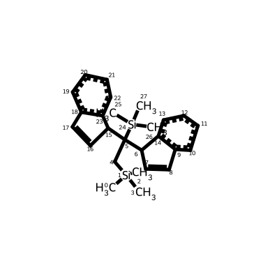 C[Si](C)(C)CC(C1C=Cc2ccccc21)(C1C=Cc2ccccc21)[Si](C)(C)C